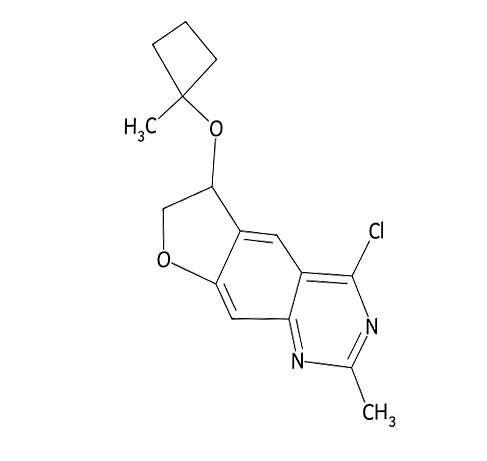 Cc1nc(Cl)c2cc3c(cc2n1)OCC3OC1(C)CCC1